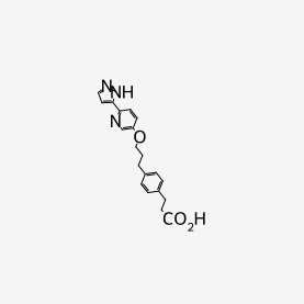 O=C(O)CCc1ccc(CCCOc2ccc(-c3ccn[nH]3)nc2)cc1